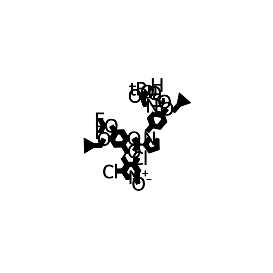 CC(C)(C)OC(=O)CN(c1cc(CN2CCC[C@H]2C(=O)O[C@@H](Cc2c(Cl)c[n+]([O-])cc2Cl)c2ccc(OC(F)F)c(OCC3CC3)c2)ccc1OCC1CC1)[SH](=O)=O